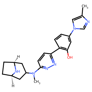 Cc1cn(-c2ccc(-c3ccc(N(C)C4C[C@H]5CC[C@@H](C4)N5)nn3)c(O)c2)cn1